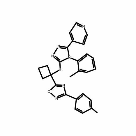 Cc1ccc(-c2noc(C3(Sc4nnc(-c5ccncc5)n4-c4ccccc4C)CCC3)n2)cc1